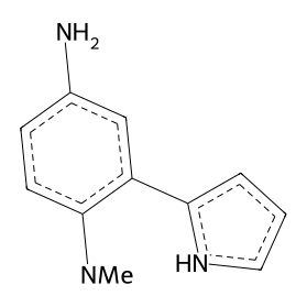 CNc1ccc(N)cc1-c1ccc[nH]1